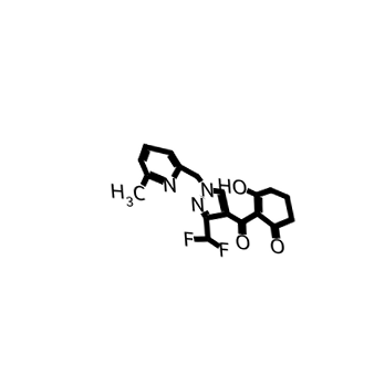 Cc1cccc(Cn2cc(C(=O)C3=C(O)CCCC3=O)c(C(F)F)n2)n1